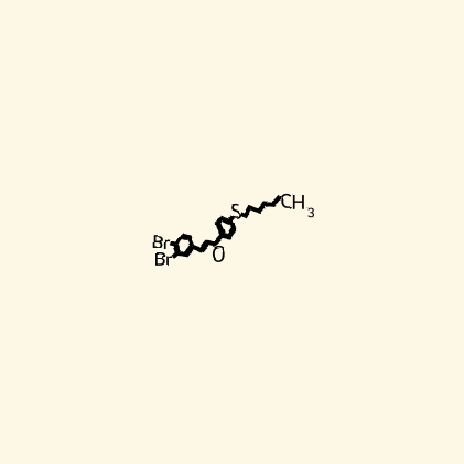 CCCCCCCSc1ccc(C(=O)C=Cc2ccc(Br)c(Br)c2)cc1